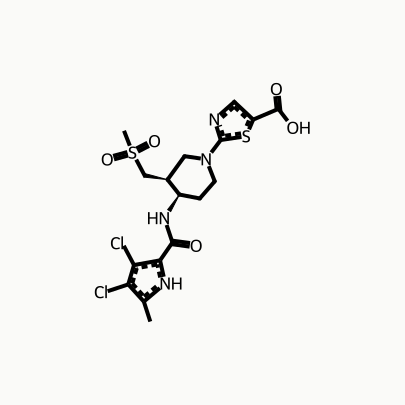 Cc1[nH]c(C(=O)N[C@@H]2CCN(c3ncc(C(=O)O)s3)C[C@@H]2CS(C)(=O)=O)c(Cl)c1Cl